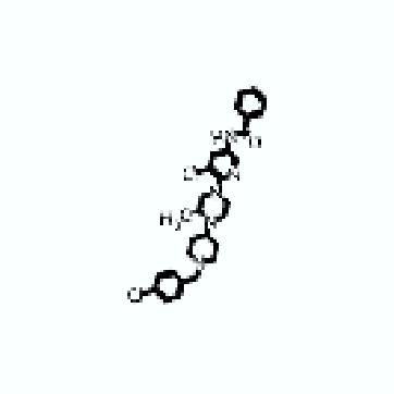 C[C@H]1CN(c2ncc(NC(=O)c3ccccc3)cc2Cl)CCN1C1CCN(Cc2ccc(Cl)cc2)CC1